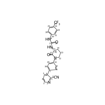 N#Cc1ncccc1-c1ccc(N2CCC[C@@H](NC(=O)Nc3ccc(C(F)(F)F)cc3)C2=O)cc1